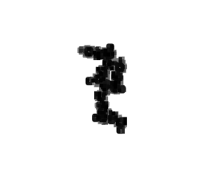 Cc1nc(-c2cncc(Cl)c2)oc1-c1ccc(=O)n(Cc2nnc(-c3cncc(Cc4nc(-c5cccc(Cl)c5)oc4-c4ccc(=O)n(Cc5nnc(-c6ccc(F)c(Cc7nc(-c8cncc(Cl)c8)oc7-c7ccc(=O)n(Cc8nnc(-c9ccc(F)cc9)s8)n7)c6)s5)n4)c3)s2)n1